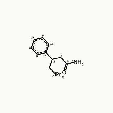 CC(C)CC(CC(N)=O)c1ccccc1